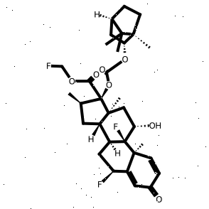 C[C@@H]1C[C@H]2[C@@H]3C[C@H](F)C4=CC(=O)C=C[C@]4(C)[C@@]3(F)[C@@H](O)C[C@]2(C)[C@@]1(OC(=O)O[C@@H]1C[C@H]2CC[C@]1(C)C2(C)C)C(=O)OCF